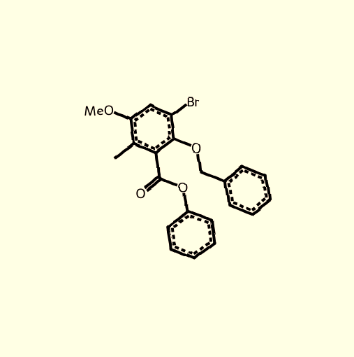 COc1cc(Br)c(OCc2ccccc2)c(C(=O)Oc2ccccc2)c1C